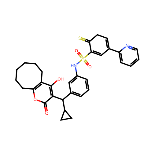 O=c1oc2c(c(O)c1C(c1cccc(NS(=O)(=O)C3=CC(c4ccccn4)=CCC3=S)c1)C1CC1)CCCCCC2